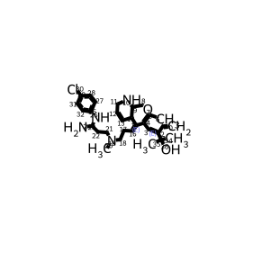 C=C/C(=C\C1=C(C)OCC2NCC=CC2/C1=C\CCN(C)CCC(N)Nc1ccc(Cl)cc1)C(C)(C)O